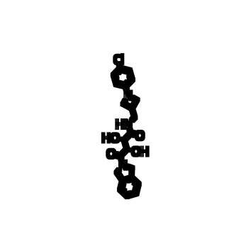 O=C(NCC1CN(c2ccc(Cl)cc2)C1)[C@H](O)[C@@H](O)C(=O)N1Cc2ccccc2C1